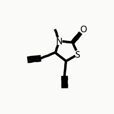 C#CC1SC(=O)N(C)C1C#C